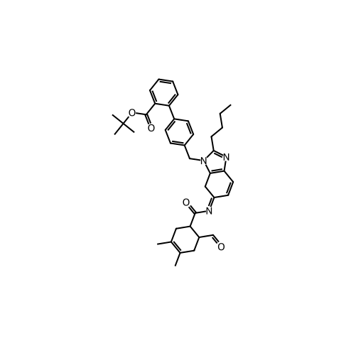 CCCCc1nc2c(n1Cc1ccc(-c3ccccc3C(=O)OC(C)(C)C)cc1)CC(=NC(=O)C1CC(C)=C(C)CC1C=O)C=C2